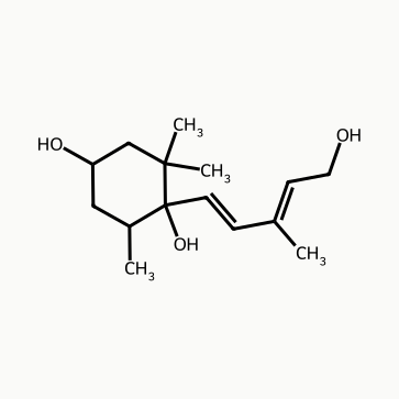 CC(C=CC1(O)C(C)CC(O)CC1(C)C)=CCO